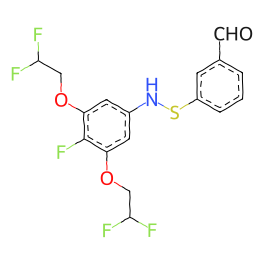 O=Cc1cccc(SNc2cc(OCC(F)F)c(F)c(OCC(F)F)c2)c1